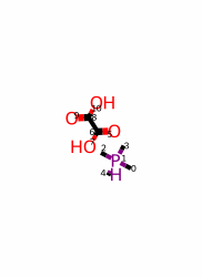 C[PH](C)(C)C.O=C(O)C(=O)O